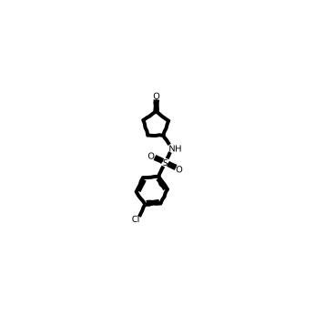 O=C1CCC(NS(=O)(=O)c2ccc(Cl)cc2)C1